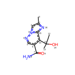 Cc1cn2ncc(C(N)=O)c(C(C)(C)O)c2n1